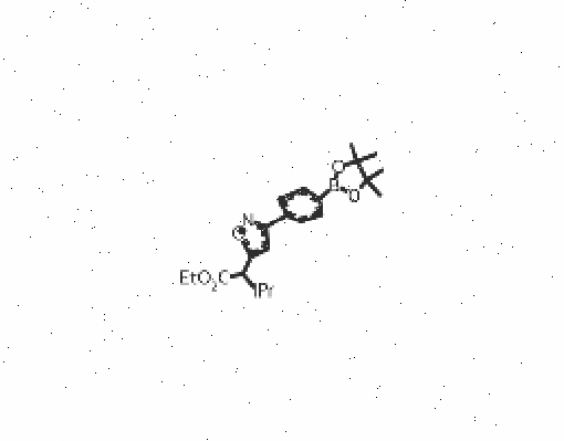 CCOC(=O)C(c1cc(-c2ccc(B3OC(C)(C)C(C)(C)O3)cc2)no1)C(C)C